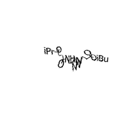 CC(C)COC(=O)CCn1cc(CNC(=O)CCC(=O)C(C)C)nn1